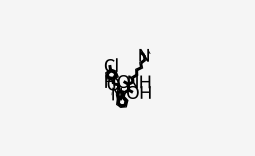 CN(C)CCCCCCNC(O)C(O)c1c(COc2ccc(Cl)cc2)n(C)c2ccccc12